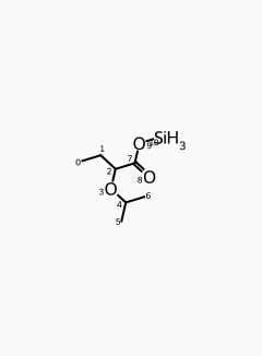 CCC(OC(C)C)C(=O)O[SiH3]